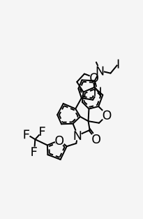 CN(CI)c1ccc(-c2cccc3c2C2(COc4cc5c(cc42)CCO5)C(=O)N3Cc2ccc(C(F)(F)F)o2)cn1